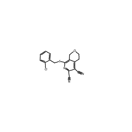 N#Cc1nc(SCc2ccccc2Cl)c2c(c1C#N)CCOC2